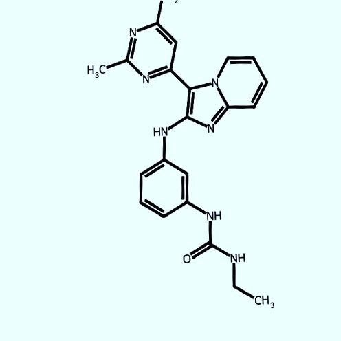 CCNC(=O)Nc1cccc(Nc2nc3ccccn3c2-c2cc(N)nc(C)n2)c1